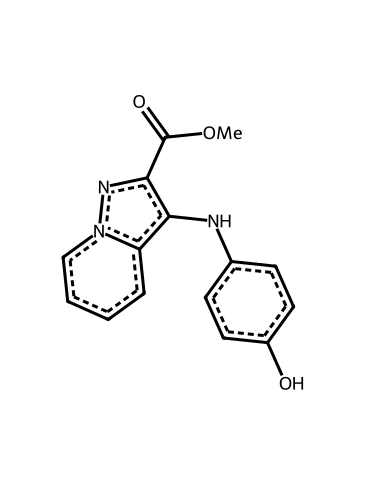 COC(=O)c1nn2ccccc2c1Nc1ccc(O)cc1